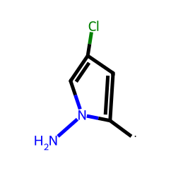 [CH2]c1cc(Cl)cn1N